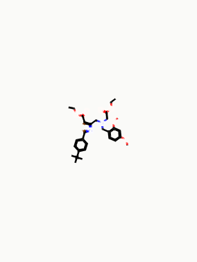 CCOC(=O)CN(Cc1ccc(OC)cc1OC)Cc1nc(-c2ccc(C(C)(C)C)cc2)sc1C(=O)OCC